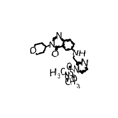 CN(C)S(=O)(=O)n1ccnc1CNc1ccc2ncn(C3CCOCC3)c(=O)c2c1